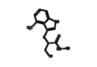 CCNC(=O)C(CC(C)C)Sc1c[nH]c2cccc(C)c12